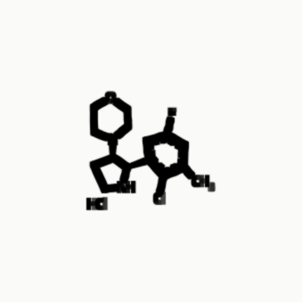 Cc1cc(F)cc([C@H]2NCC[C@H]2N2CCOCC2)c1Cl.Cl